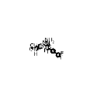 Nc1nc(O[C@H](c2ccc(-c3ccc(F)c(F)c3)cc2)C(F)(F)F)cc(N2CCC3(CC2)CN[C@H](C(=O)O)C3)n1